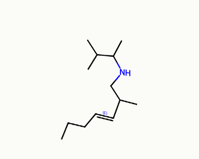 CCC/C=C/C(C)CNC(C)C(C)C